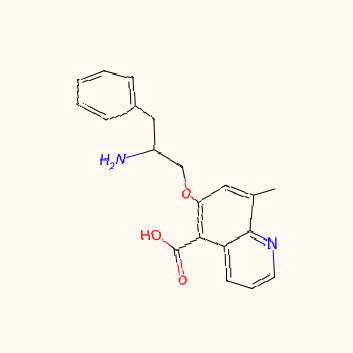 Cc1cc(OCC(N)Cc2ccccc2)c(C(=O)O)c2cccnc12